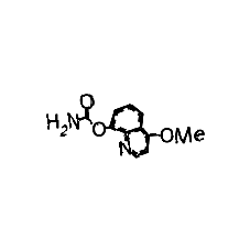 COc1ccnc2c(OC(N)=O)cccc12